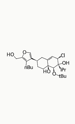 CCCCc1c([C@@H]2CC[C@]3(O)C(=C[C@@H](Cl)[C@@](O)(C(C)C)[C@H]3OC(C)(C)C)C2)coc1CO